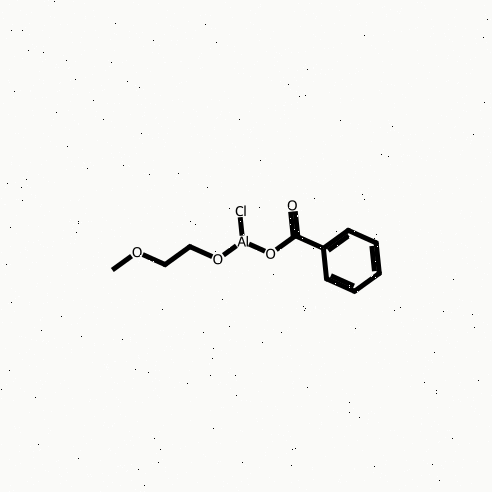 COCC[O][Al]([Cl])[O]C(=O)c1ccccc1